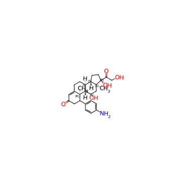 C[C@]12C[C@H](O)[C@H]3[C@@H](CCC4=CC(=O)CC(c5ccc(N)cc5)[C@@]43C)[C@@H]1CC[C@]2(O)C(=O)CO